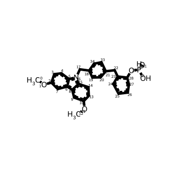 COc1ccc2c(c1)c1cc(OC)ccc1n2Cc1ccc(Cc2ccccc2O[PH](=O)O)cc1